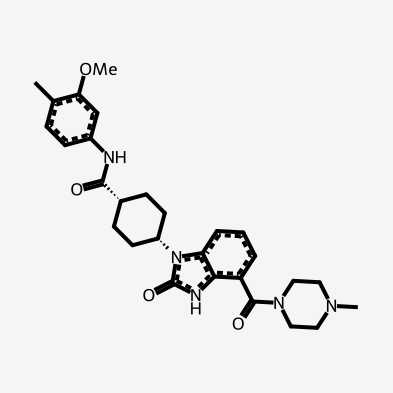 COc1cc(NC(=O)[C@H]2CC[C@@H](n3c(=O)[nH]c4c(C(=O)N5CCN(C)CC5)cccc43)CC2)ccc1C